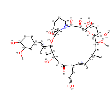 C=CC[C@@H]1/C=C(\C)C[C@H](C)C[C@H](OC)[C@H]2O[C@@](O)(C(=O)C(=O)N3CCCC[C@H]3C(=O)O[C@H](/C(C)=C/[C@@H]3CCC(O)C(OC)C3)[C@H](C)[C@@H](O)CC1=O)[C@H](C)C[C@@H]2OC.O